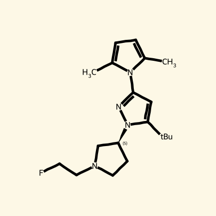 Cc1ccc(C)n1-c1cc(C(C)(C)C)n([C@H]2CCN(CCF)C2)n1